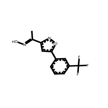 CC(=NO)c1cc(-c2cccc(C(F)(F)F)c2)on1